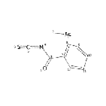 CC(C)=O.O=C(N=C=S)c1ccccc1